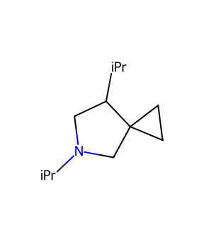 CC(C)C1CN(C(C)C)CC12CC2